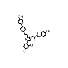 COc1ccc(CNC(=O)Cn2cc(-c3ccc(Cl)cc3Cl)nc2C=Cc2ccc(-c3ccc(O)cc3)cc2)cc1